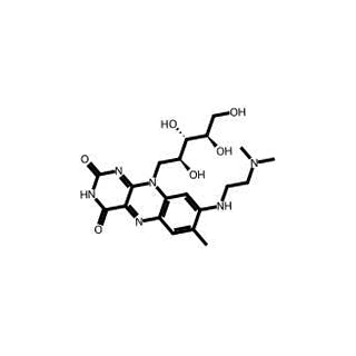 Cc1cc2nc3c(=O)[nH]c(=O)nc-3n(C[C@H](O)[C@H](O)[C@H](O)CO)c2cc1NCCN(C)C